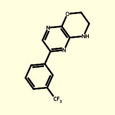 FC(F)(F)c1cccc(-c2cnc3c(n2)NCCO3)c1